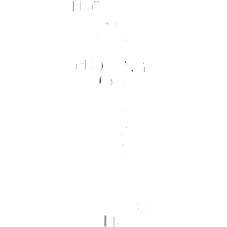 Cc1ccc(NC(=O)CCCCCCCCC(=O)O)c(O)c1